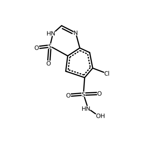 O=S(=O)(NO)c1cc2c(cc1Cl)N=CNS2(=O)=O